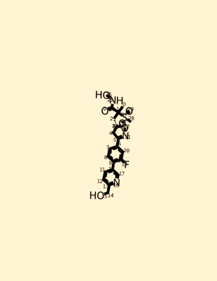 CC(C[C@H]1CC(c2ccc(-c3ccc(CO)nc3)c(F)c2)=NO1)(C(=O)NO)S(C)(=O)=O